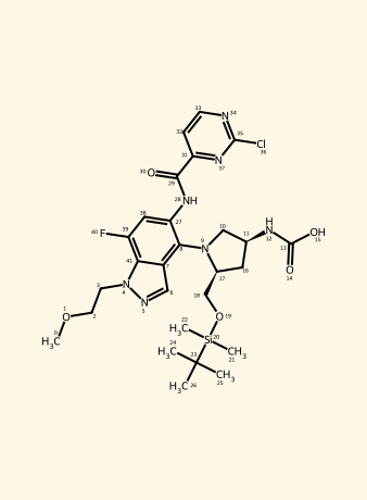 COCCn1ncc2c(N3C[C@@H](NC(=O)O)C[C@H]3CO[Si](C)(C)C(C)(C)C)c(NC(=O)c3ccnc(Cl)n3)cc(F)c21